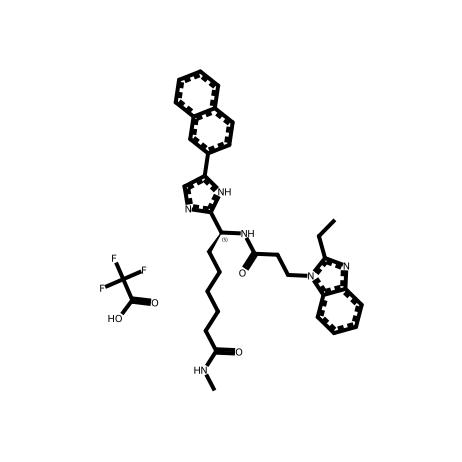 CCc1nc2ccccc2n1CCC(=O)N[C@@H](CCCCCC(=O)NC)c1ncc(-c2ccc3ccccc3c2)[nH]1.O=C(O)C(F)(F)F